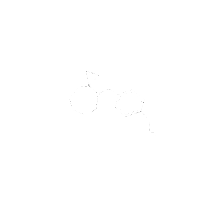 COc1ccc(CN2CCOCCC23CC3)cc1